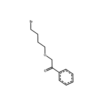 O=C(COCCCCBr)c1ccccc1